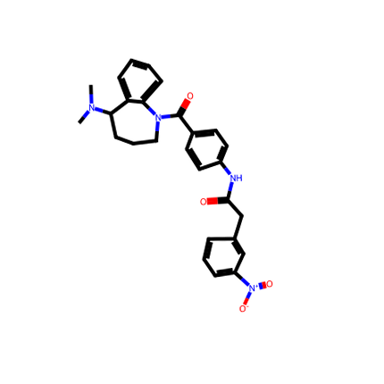 CN(C)C1CCCN(C(=O)c2ccc(NC(=O)Cc3cccc([N+](=O)[O-])c3)cc2)c2ccccc21